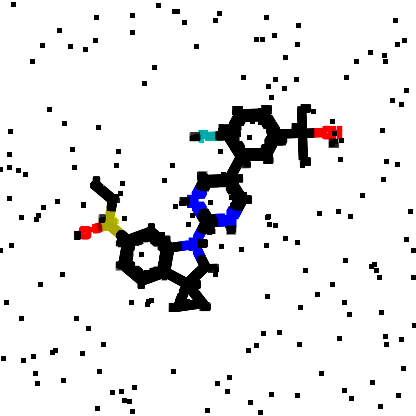 CC[S+]([O-])c1ccc2c(c1)N(c1ncc(-c3cc(C(C)(C)O)ccc3F)cn1)CC21CC1